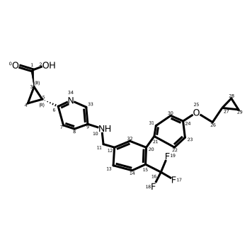 O=C(O)[C@@H]1C[C@H]1c1ccc(NCc2ccc(C(F)(F)F)c(-c3ccc(OCC4CC4)cc3)c2)cn1